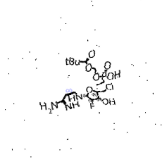 CC(C)(C)C(=O)OCOP(=O)(O)CC[C@@]1(CCl)O[C@@H](N/C=C\C(=N)N)[C@H](F)[C@@H]1O